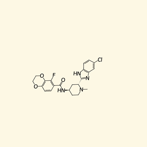 CN1CC[C@@H](NC(=O)c2ccc3c(c2F)OCCO3)C[C@@H]1c1nc2cc(Cl)ccc2[nH]1